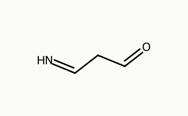 N=CCC=O